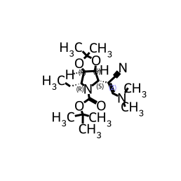 CC[C@@H]1[C@H]2OC(C)(C)O[C@H]2[C@H](/C(C#N)=C/N(C)C)N1C(=O)OC(C)(C)C